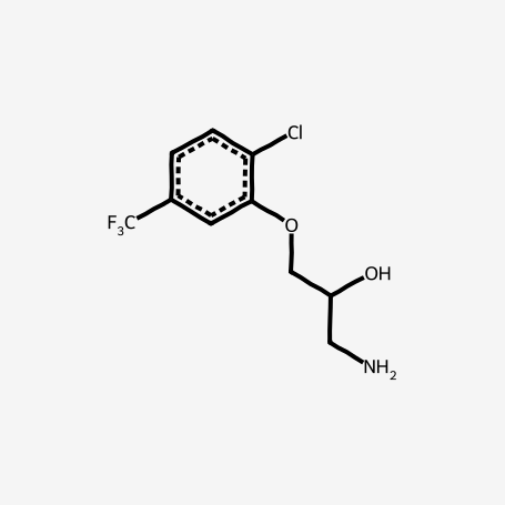 NCC(O)COc1cc(C(F)(F)F)ccc1Cl